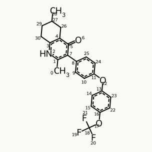 Cc1[nH]c2c(c(=O)c1-c1ccc(Oc3ccc(OC(F)(F)F)cc3)cc1)CC(C)CC2